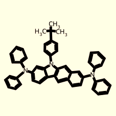 CC(C)(C)c1ccc(-n2c3cc(N(c4ccccc4)c4ccccc4)ccc3c3cc4ccc(N(c5ccccc5)c5ccccc5)cc4cc32)cc1